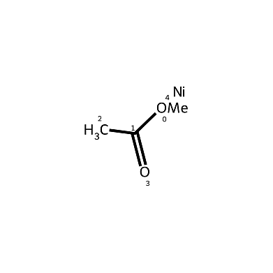 COC(C)=O.[Ni]